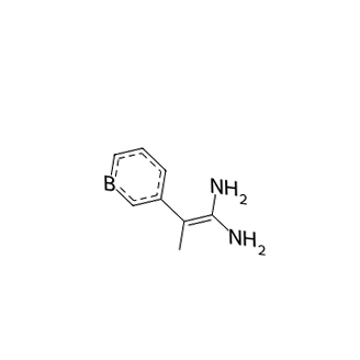 CC(=C(N)N)c1cbccc1